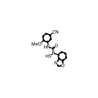 COc1ccc(C#N)cc1NC(=O)N(S)c1cccc2ocnc12